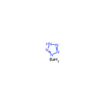 [BaH2].n1nn[nH]n1